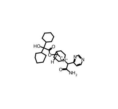 NC(=O)C(c1ccncn1)[N+]12CCC(CC1)[C@@H](OC(=O)C(O)(C1CCCCC1)C1CCCCC1)C2